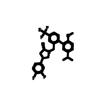 COc1ccc(C(C)C)cc1-c1ccc(C(F)(F)F)cc1CN1CC(c2ccc(F)c(F)c2)CC1=O